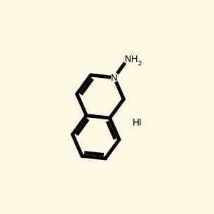 I.NN1C=Cc2ccccc2C1